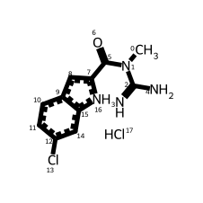 CN(C(=N)N)C(=O)c1cc2ccc(Cl)cc2[nH]1.Cl